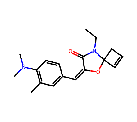 CCN1C(=O)/C(=C\c2ccc(N(C)C)c(C)c2)OC12C=CC2